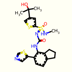 CNS(=O)(=NC(=O)Nc1c(-c2cncs2)ccc2c1CCC2)c1cc(C(C)(C)O)cs1